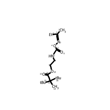 CC/C(C)=N\OC(=O)NCCOC(=O)C(C)(C(C)(C)C)C(C)(C)C